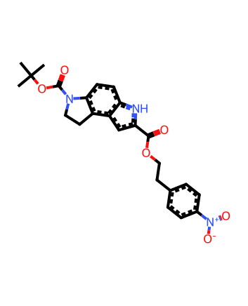 CC(C)(C)OC(=O)N1CCc2c1ccc1[nH]c(C(=O)OCCc3ccc([N+](=O)[O-])cc3)cc21